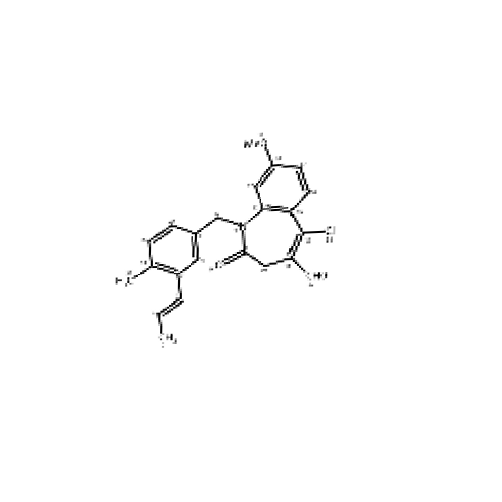 C/C=C/c1cc(CN2C(=O)CC(C=O)=C(Cl)c3ccc(OC)cc32)ccc1C